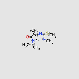 C=N/C(=N\C1=C(C)C(=O)N(C(C)C)C1)SC